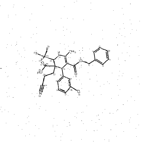 CC1=C(C(=O)OCc2ccccc2)C(c2cccc(Cl)c2)C(CCC#N)(C(=O)O)C(C(F)(F)F)N1